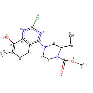 CC(C)(C)OC(=O)N1CCN(c2nc(Cl)nc3c2CCC(C(=O)O)=C3O)CC1CC#N